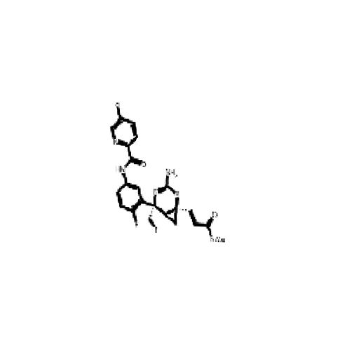 CNC(=O)/C=C/[C@]12CC1[C@@](CF)(c1cc(NC(=O)c3ccc(Cl)cn3)ccc1F)N=C(N)S2